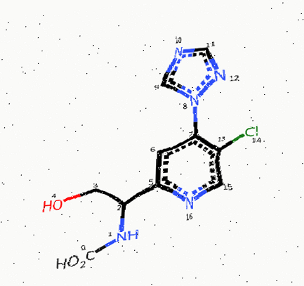 O=C(O)NC(CO)c1cc(-n2cncn2)c(Cl)cn1